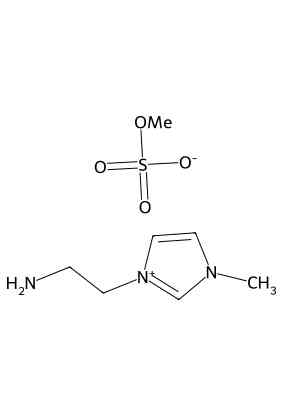 COS(=O)(=O)[O-].Cn1cc[n+](CCN)c1